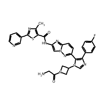 Cc1nc(-c2cccnc2)sc1C(=O)Nc1cn2nc(-c3c(-c4ccc(F)cc4)ncn3C3CN(C(=O)CN)C3)ccc2n1